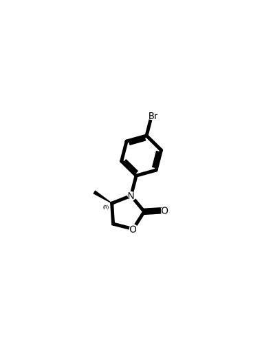 C[C@@H]1COC(=O)N1c1ccc(Br)cc1